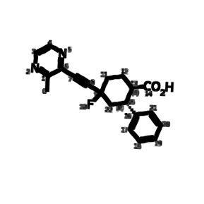 Cc1nccnc1C#CC1(F)CC[C@@H](C(=O)O)[C@H](c2ccccc2)C1